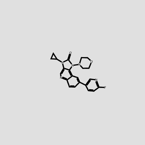 O=c1n(C2CC2)c2cnc3ccc(-c4ccc(F)nc4)cc3c2n1N1CCOCC1